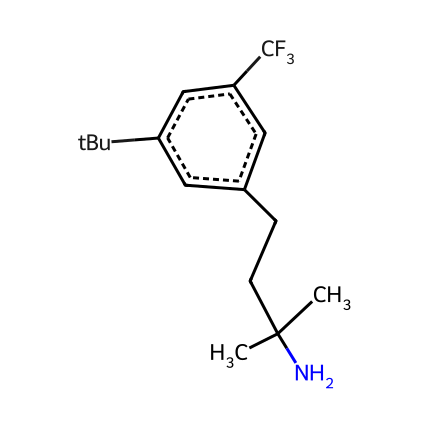 CC(C)(N)CCc1cc(C(C)(C)C)cc(C(F)(F)F)c1